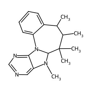 CC1c2ccccc2N2c3ncncc3N(C)C2C(C)(C)C1C